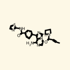 CC#CC(=O)N1CCC[C@H]1c1nc(-c2ccc(C(=O)Nc3nccs3)cc2)c2c(N)nccn12